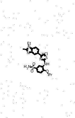 CCn1c(C)nc2cc(-c3csc(Nc4cc(S(N)(=O)=O)ccc4OC(C)C)n3)ccc21.Cl